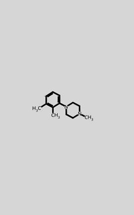 Cc1[c]ccc(N2CCN(C)CC2)c1C